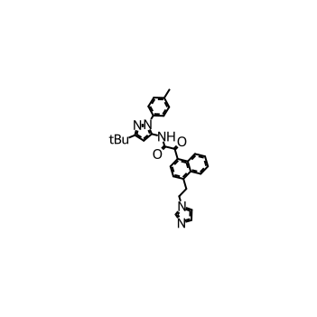 Cc1ccc(-n2nc(C(C)(C)C)cc2NC(=O)C(=O)c2ccc(CCn3ccnc3)c3ccccc23)cc1